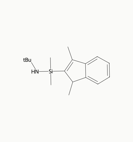 CC1=C([Si](C)(C)NC(C)(C)C)C(C)c2ccccc21